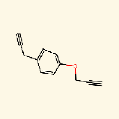 C#CCOc1ccc(CC#C)cc1